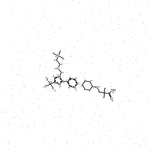 CC(C)(CO[C@H]1CC[C@H](c2ccc(-c3nc(C(F)(F)F)cn3COCC[Si](C)(C)C)cn2)CC1)C(=O)O